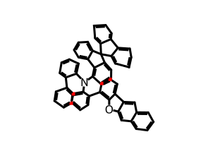 c1ccc(-c2ccccc2N(c2ccccc2-c2cccc3c2oc2cc4ccccc4cc23)c2cccc3c2-c2ccccc2C32c3ccccc3-c3ccccc32)cc1